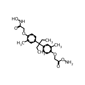 CCC(CC)(c1ccc(OCC(=O)NO)c(C)c1)c1ccc(OCC(=O)ON)c(C)c1